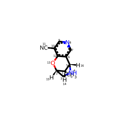 C[C@@H]1[C@@H]2CN[C@H]1c1cncc(C#N)c1O2